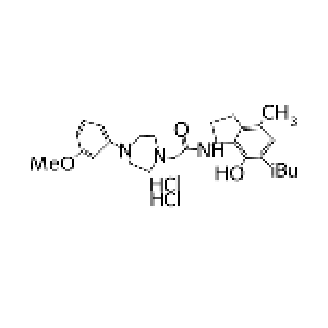 CCC(C)c1cc(C)c2c(c1O)C(NC(=O)CN1CCN(c3cccc(OC)c3)CC1)CC2.Cl.Cl